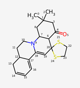 CC1(C)CC(=O)C2C(C1)N1CCC3CC=CC=C3C1=CC21SCCS1